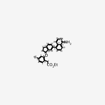 CCOC(=O)Cc1ccc(F)cc1O[C@@H]1CCc2ccc(-c3cccc4c(N)nccc34)cc21